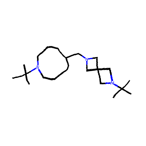 CC(C)(C)N1CCCC(CN2CC3(C2)CN(C(C)(C)C)C3)CCC1